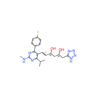 CNc1nc(-c2ccc(F)cc2)c(/C=C/[C@@H](O)C[C@@H](O)Cc2nnn[nH]2)c(C(C)C)n1